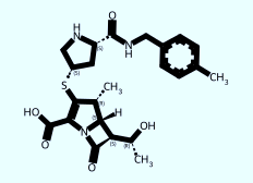 Cc1ccc(CNC(=O)[C@@H]2C[C@H](SC3=C(C(=O)O)N4C(=O)[C@H]([C@@H](C)O)[C@H]4[C@H]3C)CN2)cc1